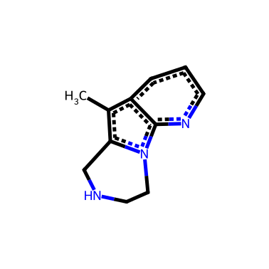 Cc1c2n(c3ncccc13)CCNC2